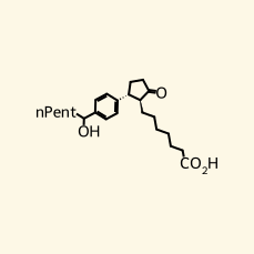 CCCCCC(O)c1ccc([C@@H]2CCC(=O)[C@H]2CCCCCCC(=O)O)cc1